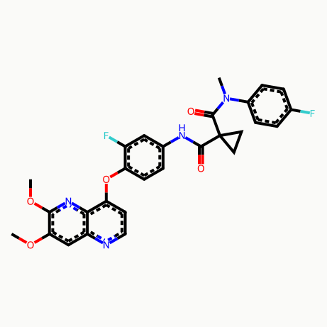 COc1cc2nccc(Oc3ccc(NC(=O)C4(C(=O)N(C)c5ccc(F)cc5)CC4)cc3F)c2nc1OC